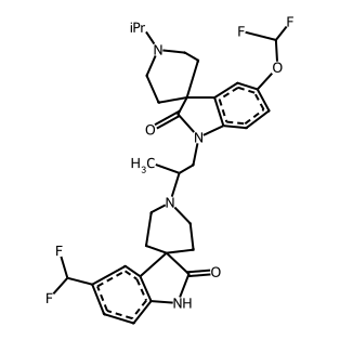 CC(C)N1CCC2(CC1)C(=O)N(CC(C)N1CCC3(CC1)C(=O)Nc1ccc(C(F)F)cc13)c1ccc(OC(F)F)cc12